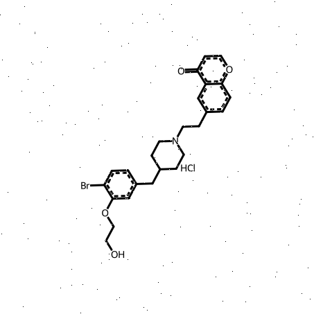 Cl.O=c1ccoc2ccc(CCN3CCC(Cc4ccc(Br)c(OCCO)c4)CC3)cc12